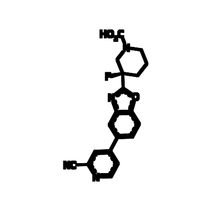 N#Cc1cc(-c2ccc3oc([C@@]4(F)CCCN(C(=O)O)C4)nc3c2)ccn1